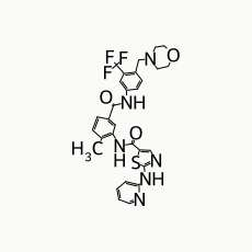 Cc1ccc(C(=O)Nc2ccc(CN3CCOCC3)c(C(F)(F)F)c2)cc1NC(=O)c1cnc(Nc2ccccn2)s1